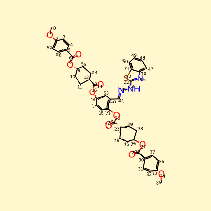 COc1ccc(C(=O)O[C@H]2CC[C@H](C(=O)Oc3ccc(OC(=O)[C@H]4CC[C@H](OC(=O)c5ccc(OC)cc5)CC4)c(/C=N/Nc4nc5ccccc5s4)c3)CC2)cc1